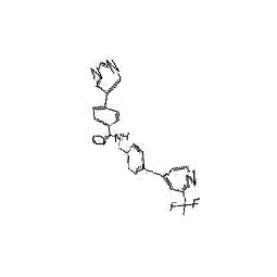 CC(F)(F)c1cc(-c2ccc(CNC(=O)c3ccc(-c4cncnc4)cc3)cc2)ccn1